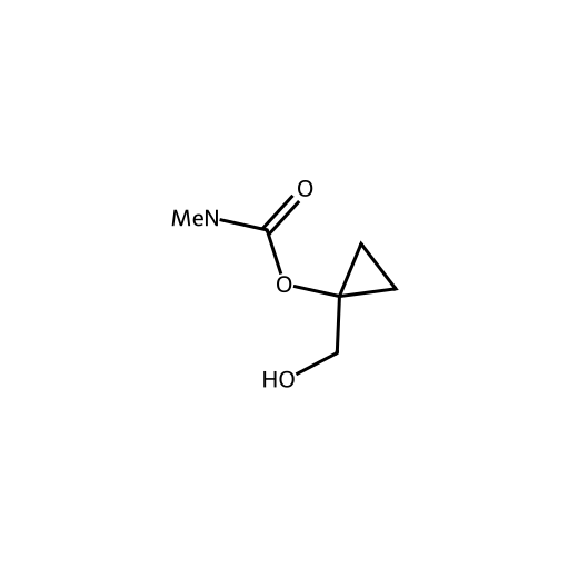 CNC(=O)OC1(CO)CC1